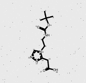 CC(C)(C)OC(=O)NCCn1cnnc1CC(=O)O